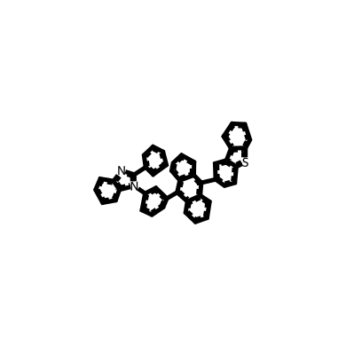 c1ccc(-c2nc3ccccc3n2-c2cccc(-c3c4ccccc4c(-c4ccc5sc6ccccc6c5c4)c4ccccc34)c2)cc1